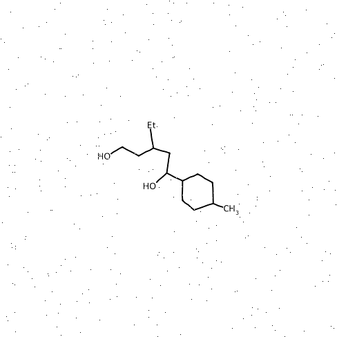 CCC(CCO)CC(O)C1CCC(C)CC1